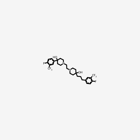 OC1(CCCc2ccc(F)c(C(F)(F)F)c2)CCN(CCN2CCC(O)(c3ccc(F)c(C(F)(F)F)c3)CC2)CC1